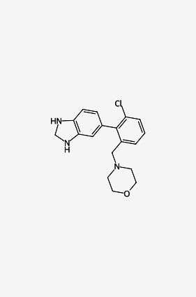 Clc1cccc(CN2CCOCC2)c1-c1ccc2c(c1)NCN2